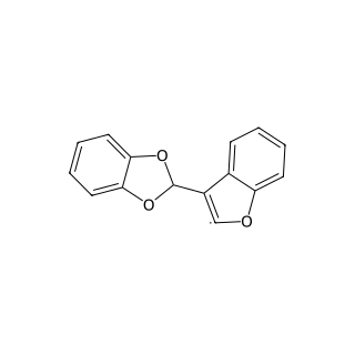 [c]1oc2ccccc2c1C1Oc2ccccc2O1